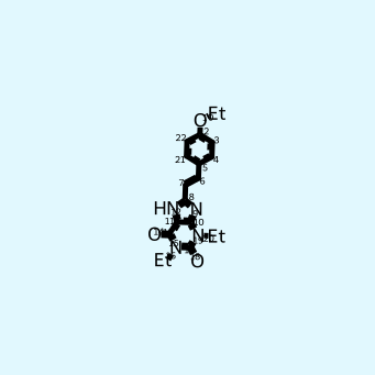 CCOc1ccc(/C=C/c2nc3c([nH]2)c(=O)n(CC)c(=O)n3CC)cc1